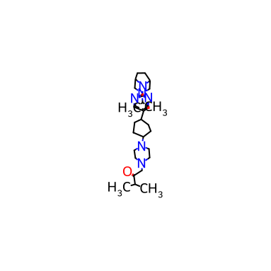 CC(C)C(=O)CN1CCN(C2CCC(c3cnc(N4C5CCC4CN(C(C)C)C5)nc3)CC2)CC1